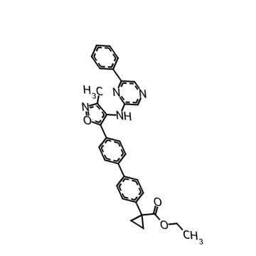 CCOC(=O)C1(c2ccc(-c3ccc(-c4onc(C)c4Nc4cncc(-c5ccccc5)n4)cc3)cc2)CC1